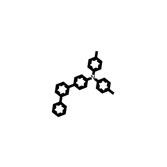 Cc1ccc(N(c2ccc(C)cc2)c2ccc(-c3cccc(-c4ccccc4)c3)cc2)cc1